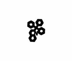 c1ccc(C(c2ccccc2)(c2ccccc2)c2ccc3ccccc3n2)cc1